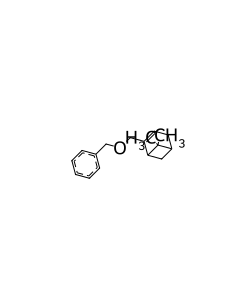 CC1(C)C2CC=C(COCc3ccccc3)C1C2